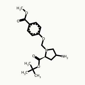 COC(=O)c1ccc(OCN2CC(N)C[C@H]2C(=O)OC(C)(C)C)cc1